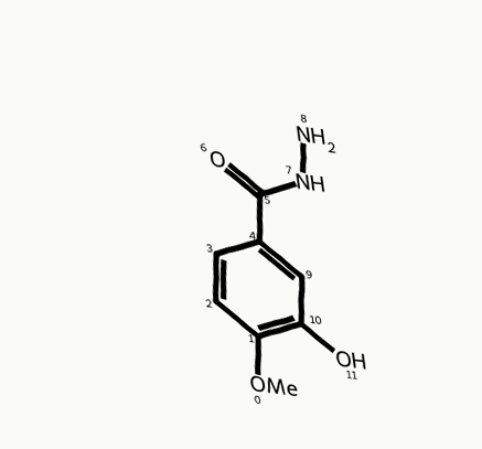 COc1ccc(C(=O)NN)cc1O